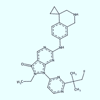 CCn1c(=O)c2cnc(Nc3ccc4c(c3)CNCC43CC3)nc2n1-c1ccnc(C(C)(C)CF)n1